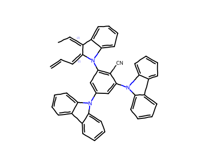 C=C/C=c1\c(=C/C)c2ccccc2n1-c1cc(-n2c3ccccc3c3ccccc32)cc(-n2c3ccccc3c3ccccc32)c1C#N